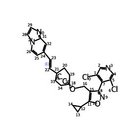 Clc1cncc(Cl)c1-c1noc(C2CC2)c1COC12CCC(/C=C/c3ccn4ccnc4c3)(CC1)CC2